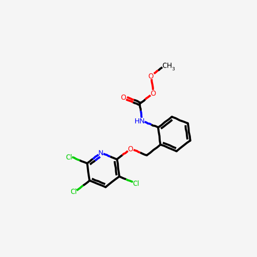 COOC(=O)Nc1ccccc1COc1nc(Cl)c(Cl)cc1Cl